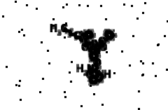 CCCCCCCCN(C(=O)CN1Cc2ccc(OCCC(C(N)=O)C3NCCc4ccccc43)cc2N=C1NC(=O)OCc1ccccc1)c1ccccc1Cl